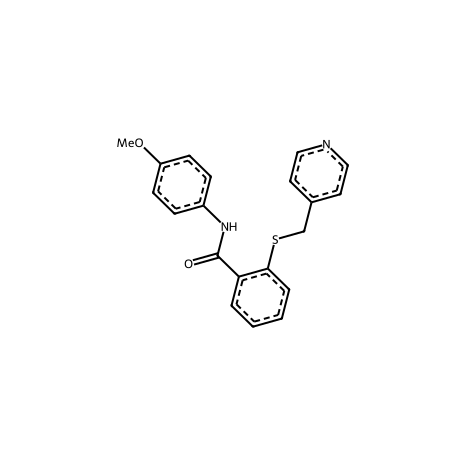 COc1ccc(NC(=O)c2ccccc2SCc2ccncc2)cc1